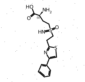 N=S(=O)(CCc1nc(-c2ccccc2)cs1)CC[C@H](N)C(=O)O